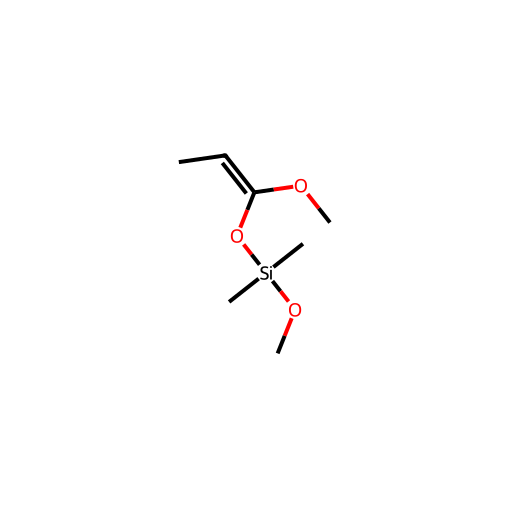 CC=C(OC)O[Si](C)(C)OC